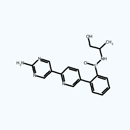 CC(CO)N[S+]([O-])c1ccccc1-c1ccc(-c2cnc(N)nc2)nc1